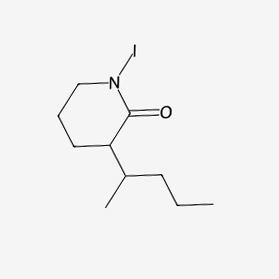 CCCC(C)C1CCCN(I)C1=O